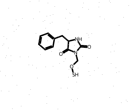 O=C1NC(Cc2ccccc2)C(=O)N1COS